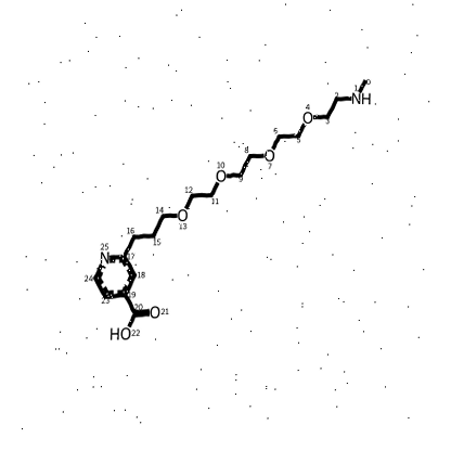 CNCCOCCOCCOCCOCCCc1cc(C(=O)O)ccn1